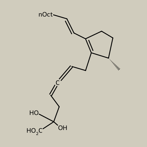 CCCCCCCC/C=C/C1=C(CC=C=CCC(O)(O)C(=O)O)[C@@H](C)CC1